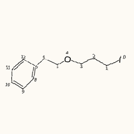 ICCCOCCc1ccccc1